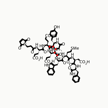 CSCC[C@H](NC(=O)[C@H](Cc1c[nH]c2ccccc12)NC(=O)CNC(=O)[C@H](Cc1ccc(O)cc1)NC(=O)[C@H](C)NC(=O)[C@H](CCC(=O)O)NC(=O)[C@H](CCC(=O)O)NC(=O)[C@H](CCC(=O)O)NC(=O)CCN1C(=O)C=CC1=O)C(=O)N[C@@H](CC(=O)O)C(=O)N[C@@H](Cc1ccccc1)C(N)=O